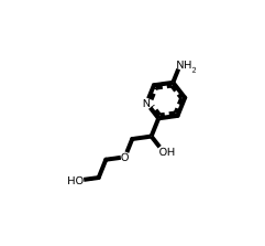 Nc1ccc(C(O)COCCO)nc1